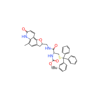 Cc1cc2c(c3ccc(=O)[nH]c13)OC(CNC(=O)C(CSC(c1ccccc1)(c1ccccc1)c1ccccc1)NC(=O)OC(C)(C)C)C2